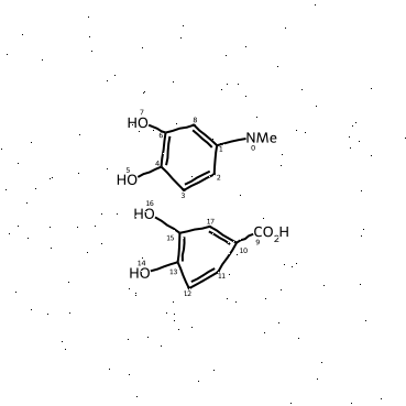 CNc1ccc(O)c(O)c1.O=C(O)c1ccc(O)c(O)c1